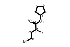 O=C(OC1CCCC1)[C@@H](I)CCBr